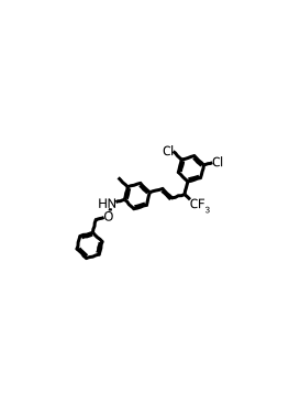 Cc1cc(/C=C/C(c2cc(Cl)cc(Cl)c2)C(F)(F)F)ccc1NOCc1ccccc1